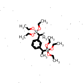 CCO[Si](OCC)(OCC)C(C)c1cccc(C(C)[Si](OCC)(OCC)OCC)c1